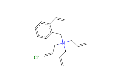 C=CC[N+](CC=C)(CC=C)Cc1ccccc1C=C.[Cl-]